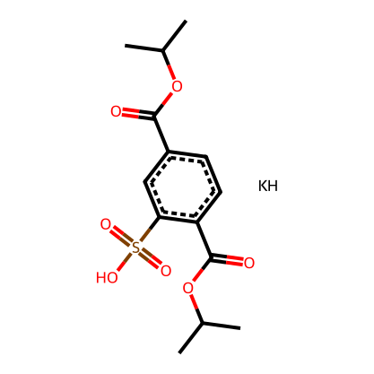 CC(C)OC(=O)c1ccc(C(=O)OC(C)C)c(S(=O)(=O)O)c1.[KH]